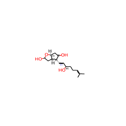 CC(C)=CCC[C@@H](O)/C=C/[C@@H]1[C@H]2CC(O)O[C@H]2C[C@H]1O